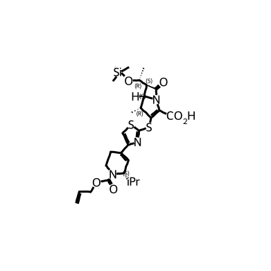 C=CCOC(=O)N1CCC(c2csc(SC3=C(C(=O)O)N4C(=O)[C@H]([C@@H](C)O[Si](C)(C)C)[C@H]4[C@H]3C)n2)=C[C@@H]1C(C)C